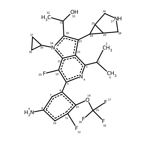 CC(C)c1nc(-c2cc(N)cc(F)c2OC(F)(F)F)c(F)c2c1c(C1C3CNCC31)c(C(C)O)n2C1CC1